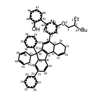 CCCCC(CC)COc1cc(C2=CC3=C(C4C=CCCC24)C2C=CC(c4ccccc4)=CC2C3(c2ccccc2)C2C=CC=CC2)nc(-c2ccccc2O)n1